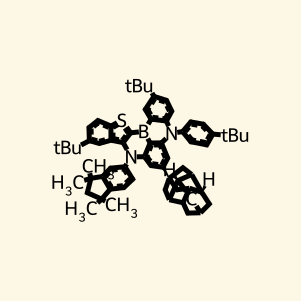 CC(C)(C)c1ccc(N2c3ccc(C(C)(C)C)cc3B3c4sc5ccc(C(C)(C)C)cc5c4N(c4ccc5c(c4)C(C)(C)CC5(C)C)c4cc([C@]56CC7C8CC9C[C@H]7C(C5)[C@H](C9)C8C6)cc2c43)cc1